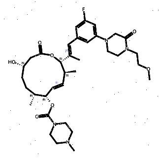 COCCN1CCN(c2cc(F)cc(/C=C(\C)[C@H]3OC(=O)C[C@@H](O)CC[C@@H](C)[C@@H](OC(=O)N4CCN(C)CC4)/C=C/[C@@H]3C)c2)CC1=O